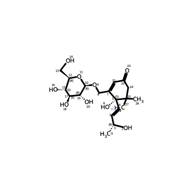 C[C@@H](O)/C=C/[C@@]1(O)C(CO[C@@H]2O[C@H](CO)[C@@H](O)[C@H](O)[C@H]2O)=CC(=O)CC1(C)C